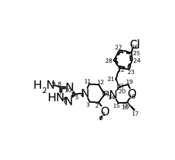 COC1CN(c2n[nH]c(N)n2)CC[C@@H]1N1C[C@H](C)OC[C@@H]1Cc1ccc(Cl)cc1